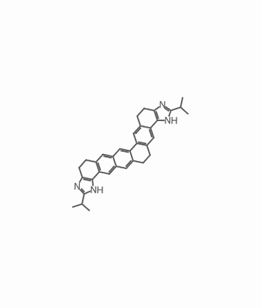 CC(C)c1nc2c([nH]1)-c1cc3c(cc1CC2)-c1cc2cc4c(cc2cc1CC3)-c1[nH]c(C(C)C)nc1CC4